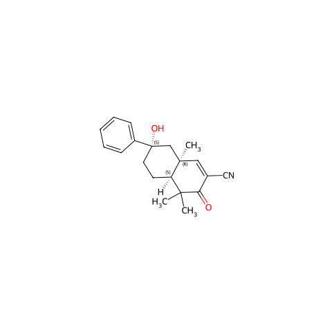 CC1(C)C(=O)C(C#N)=C[C@]2(C)C[C@](O)(c3ccccc3)CC[C@H]12